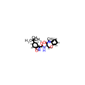 CN1C(=O)[C@@H](NC(=O)c2noc3c2CC(C(C)(C)C)CC3)COc2ccccc21